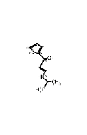 CC(C)N/C=C/C(=O)c1cccs1